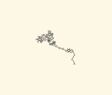 COP(=O)(OC[C@H]1O[C@@H](n2cnc3c(=S)[nH]c(N)nc32)C(O)C1O)OC1C(O)[C@H](n2cnc3c(=S)[nH]c(N)nc32)O[C@@H]1COP(=O)(O)O[C@H](CO)COCCOCCOCCOc1c(C)c(C)c2c(c1C)CC[C@@](C)(CCC[C@H](C)CCC[C@H](C)CCCC(C)C)O2